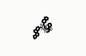 c1ccc2cc(-c3nc(-c4ccc5ccc6c7ccccc7ccc6c5c4)nc(-c4nccc5oc6ccccc6c45)n3)ccc2c1